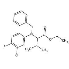 CCOC(=O)C(C(C)C)N(Cc1ccccc1)c1ccc(F)c(Cl)c1